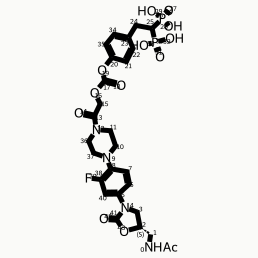 CC(=O)NC[C@H]1CN(c2ccc(N3CCN(C(=O)COC(=O)Oc4ccc(CC(P(=O)(O)O)P(=O)(O)O)cc4)CC3)c(F)c2)C(=O)O1